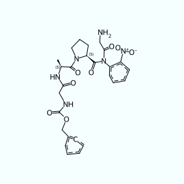 C[C@H](NC(=O)CNC(=O)OCc1ccccc1)C(=O)N1CCC[C@H]1C(=O)N(C(=O)CN)c1ccccc1[N+](=O)[O-]